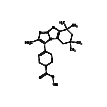 CC1(C)Cc2c(sc3nc(C(=O)O)c(C4=CCN(C(=O)OC(C)(C)C)CC4)n23)C(C)(C)C1